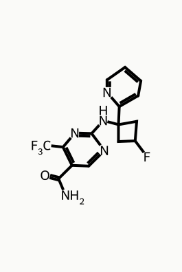 NC(=O)c1cnc(NC2(c3ccccn3)CC(F)C2)nc1C(F)(F)F